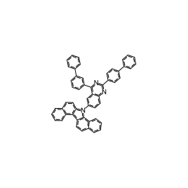 c1ccc(-c2ccc(-c3nc(-c4cccc(-c5ccccc5)c4)c4cc(-n5c6ccc7ccccc7c6c6ccc7ccccc7c65)ccc4n3)cc2)cc1